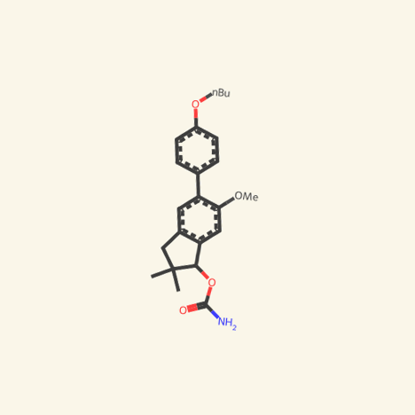 CCCCOc1ccc(-c2cc3c(cc2OC)C(OC(N)=O)C(C)(C)C3)cc1